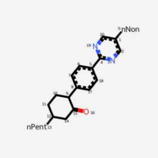 CCCCCCCCCc1cnc(-c2ccc(C3CCC(CCCCC)CC3=O)cc2)nc1